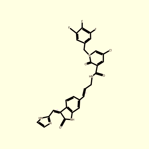 O=C1Nc2cc(/C=C/CNC(=O)c3cc(Cl)cn(Cc4cc(F)c(F)c(F)c4)c3=O)ccc2/C1=C/c1ncc[nH]1